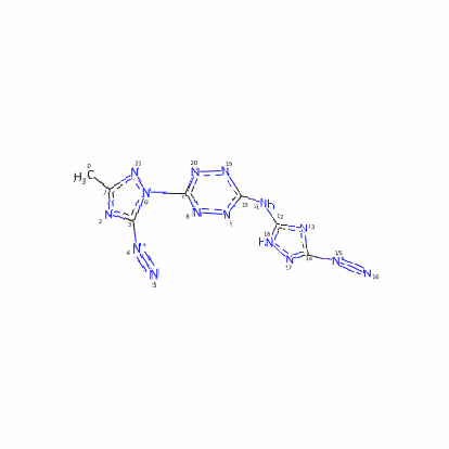 Cc1nc([N+]#N)n(-c2nnc(Nc3nc([N+]#N)n[nH]3)nn2)n1